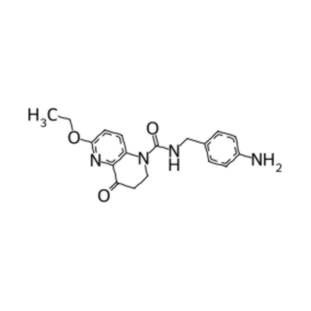 CCOc1ccc2c(n1)C(=O)CCN2C(=O)NCc1ccc(N)cc1